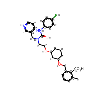 Cc1cccc(CO[C@@H]2CCC[C@H](OCCN(Cc3cccnc3)C(=O)Nc3ccc(F)cc3)C2)c1C(=O)O